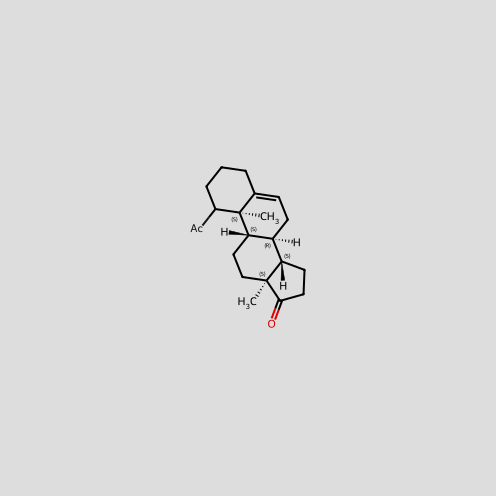 CC(=O)C1CCCC2=CC[C@H]3[C@@H]4CCC(=O)[C@@]4(C)CC[C@@H]3[C@]21C